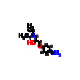 CCN(CC)CC(O)COc1ccc(N)cc1